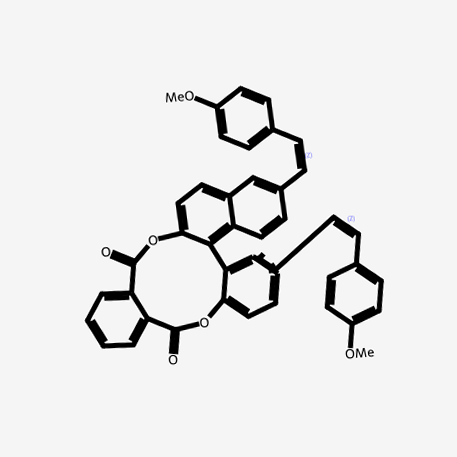 COc1ccc(/C=C\c2ccc3c(ccc4oc(=O)c5ccccc5c(=O)oc5ccc6cc(/C=C\c7ccc(OC)cc7)ccc6c5c43)c2)cc1